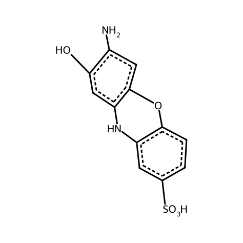 Nc1cc2c(cc1O)Nc1cc(S(=O)(=O)O)ccc1O2